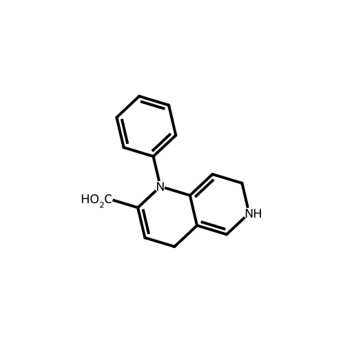 O=C(O)C1=CCC2=CNCC=C2N1c1ccccc1